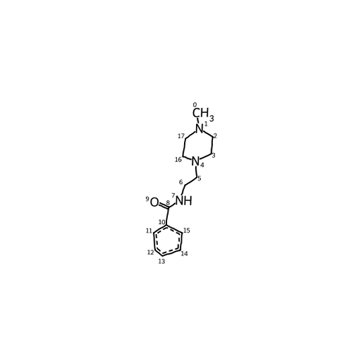 CN1CCN(CCNC(=O)c2ccccc2)CC1